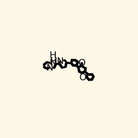 C1=CC2NC(C3=CC=C(c4ccc5oc6cc7c(cc6c5c4)oc4ccccc47)CN3)=CN2C=C1